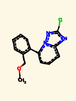 COCc1ccccc1-c1cccc2nc(Cl)nn12